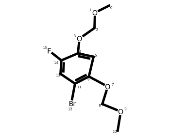 COCOc1cc(OCOC)c(Br)cc1F